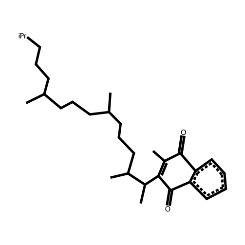 CC1=C(C(C)C(C)CCCC(C)CCCC(C)CCCC(C)C)C(=O)c2ccccc2C1=O